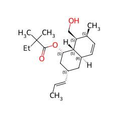 CC=C[C@@H]1C[C@H](OC(=O)C(C)(C)CC)[C@@H]2[C@@H](CO)[C@@H](C)C=C[C@H]2C1